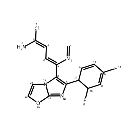 C=N/C(=C\C=C(/N)Cl)c1c(C2C=CC(F)=CC2F)nc2occn12